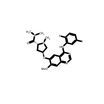 COc1cc2ncnc(Nc3cc(F)ccc3F)c2cc1O[C@H]1C[C@H](C(=O)N(C)C)N(C)C1